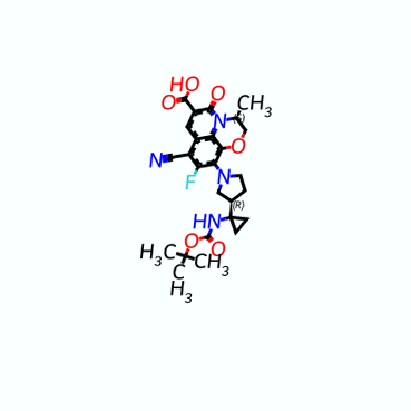 C[C@H]1COc2c(N3CC[C@@H](C4(NC(=O)OC(C)(C)C)CC4)C3)c(F)c(C#N)c3cc(C(=O)O)c(=O)n1c23